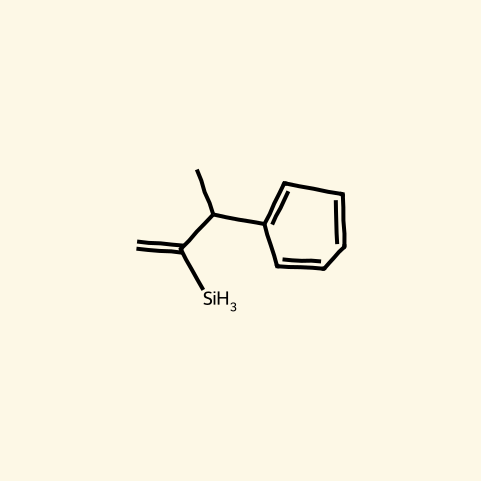 C=C([SiH3])C(C)c1ccccc1